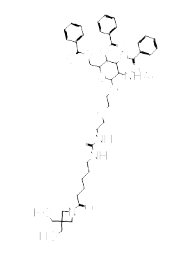 CC(=O)NC1C(OCCOCCNC(=O)NCCCCCC(=O)N2CC(CO)(CO)C2)OC(COC(=O)c2ccccc2)C(OC(=O)c2ccccc2)C1OC(=O)c1ccccc1